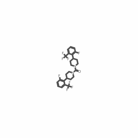 O=C(N1CCC(c2c(F)cccc2C(F)(F)F)CC1)N1CCC(c2c(F)cccc2C(F)(F)F)CC1